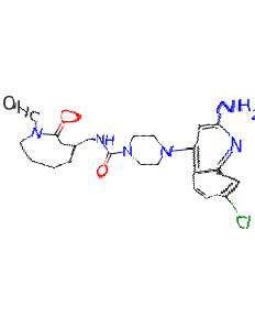 Nc1cc(N2CCN(C(=O)N[C@H]3CCCCN(C=O)C3=O)CC2)c2ccc(Cl)cc2n1